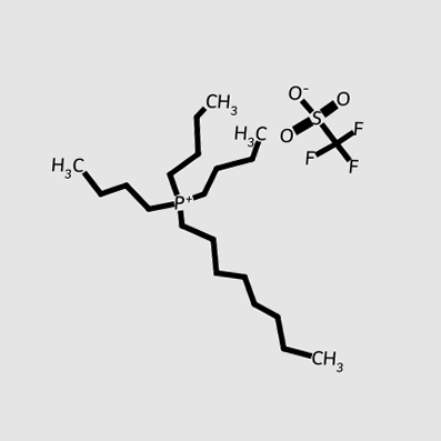 CCCCCCCC[P+](CCCC)(CCCC)CCCC.O=S(=O)([O-])C(F)(F)F